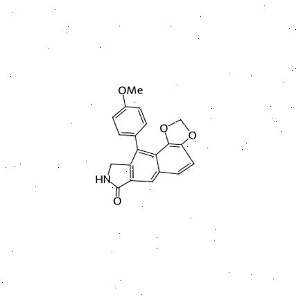 COc1ccc(-c2c3c(cc4ccc5c(c24)OCO5)C(=O)NC3)cc1